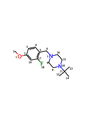 COc1ccc(CN2CCN(C(C)(C)C)CC2)c(F)c1